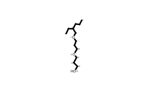 CCCC(CC)COCCCOCCCO